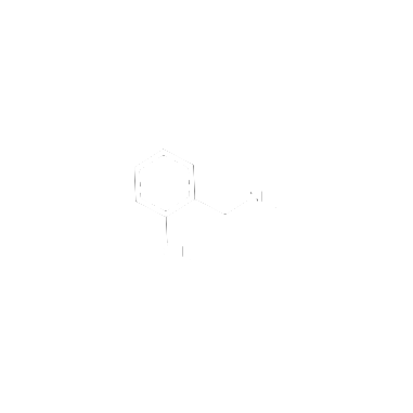 Cc1ccc[c]c1CN